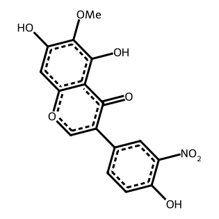 COc1c(O)cc2occ(-c3ccc(O)c([N+](=O)[O-])c3)c(=O)c2c1O